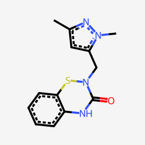 Cc1cc(CN2Sc3ccccc3NC2=O)n(C)n1